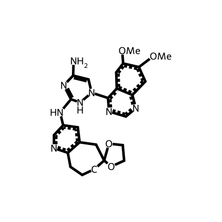 COc1cc2ncnc(N3C=C(N)N=C(Nc4cnc5c(c4)CC4(CCC5)OCCO4)N3)c2cc1OC